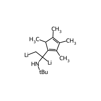 [Li][CH2][C]([Li])(NC(C)(C)C)C1=C(C)C(C)=C(C)C1C